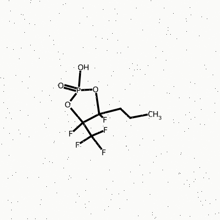 CCCC1(F)OP(=O)(O)OC1(F)C(F)(F)F